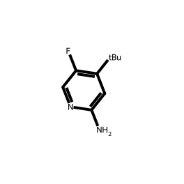 CC(C)(C)c1cc(N)ncc1F